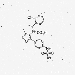 Cc1noc(-c2ccc(NS(=O)(=O)C(C)C)cc2)c1N(C(=O)O)C(C)c1ccccc1Cl